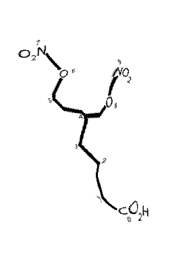 O=C(O)CCCC(CO[N+](=O)[O-])O[N+](=O)[O-]